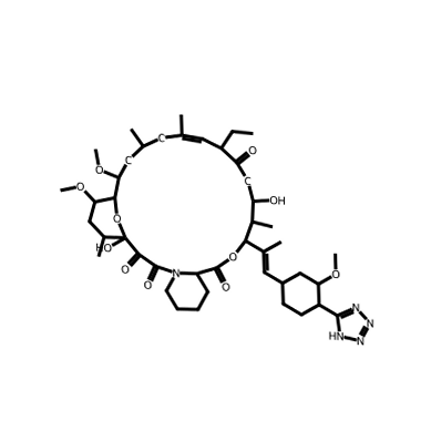 CCC1/C=C(/C)CC(C)CC(OC)C2OC(O)(C(=O)C(=O)N3CCCCC3C(=O)OC(/C(C)=C/C3CCC(c4nnn[nH]4)C(OC)C3)C(C)C(O)CC1=O)C(C)CC2OC